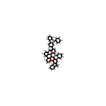 CC1(C)c2ccccc2-c2ccc(-c3ccccc3N(c3ccc(-c4ccc5c6ccccc6n(-c6ccccc6)c5c4)cc3)c3ccccc3-c3cccc4cccc(-c5ccccc5)c34)cc21